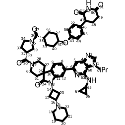 CC(C)n1cnc2cc(-c3ccc4c(c3)N([C@H]3C[C@@H](N5CCCCC5)C3)C(=O)C43CCN(C(=O)[C@@H]4CCN(C(=O)[C@H]5CC[C@H](Oc6ccc(C7CCC(=O)NC7=O)cc6)CC5)C4)CC3)nc(NC3CC3)c21